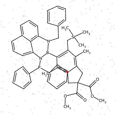 COC(=O)C1(C(=O)OC)Cc2c(C)c(C[Si](C)(C)C)c(B3N(Cc4ccccc4)c4cccc5cccc(c45)N3P(c3ccccc3)c3ccccc3)c(C)c2C1